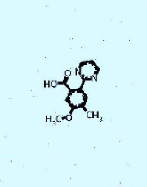 COc1cc(C(=O)O)c(-c2ncccn2)cc1C